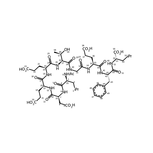 CC(=O)N[C@@H](CC(C)C)C(=O)N[C@@H](CC(=O)O)C(=O)N[C@@H](CCC(=O)O)C(=O)N[C@@H](CCC(=O)O)C(=O)N[C@H](C(=O)NCC(=O)N[C@@H](CCC(=O)O)C(=O)N[C@@H](Cc1ccccc1)C(=O)N[C@@H](CC(C)C)C(=O)O)[C@@H](C)O